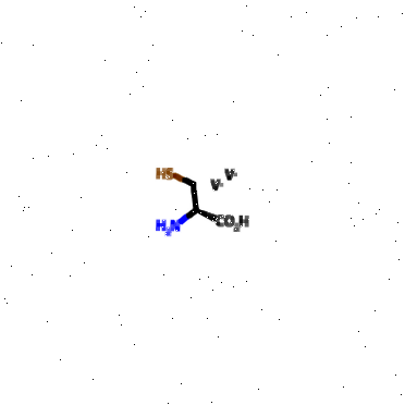 N[C@@H](CS)C(=O)O.[V].[V]